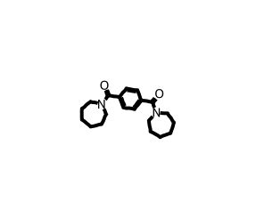 O=C(c1ccc(C(=O)N2CCCCCC2)cc1)N1CCCCCC1